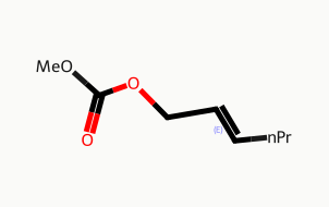 CCC/C=C/COC(=O)OC